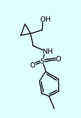 Cc1ccc(S(=O)(=O)NCC2(CO)CC2)cc1